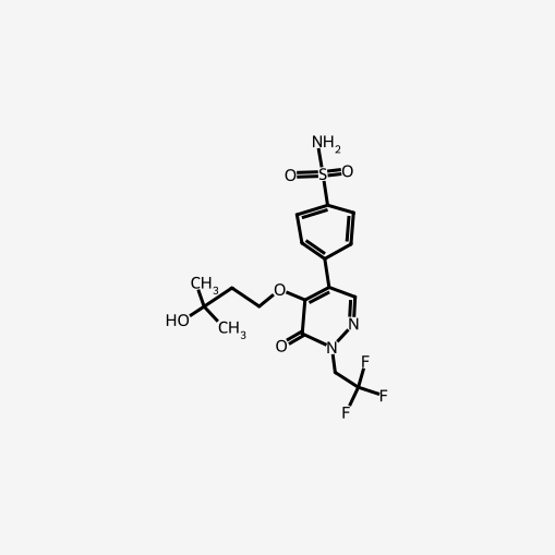 CC(C)(O)CCOc1c(-c2ccc(S(N)(=O)=O)cc2)cnn(CC(F)(F)F)c1=O